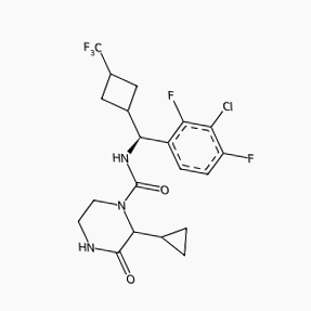 O=C1NCCN(C(=O)N[C@H](c2ccc(F)c(Cl)c2F)C2CC(C(F)(F)F)C2)C1C1CC1